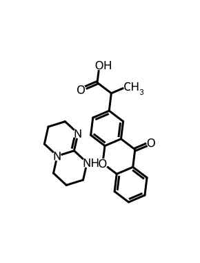 C1CN=C2NCCCN2C1.CC(C(=O)O)c1ccc2oc3ccccc3c(=O)c2c1